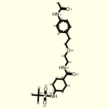 CC(=O)Nc1ccc(CCOCCNC(=O)C2CCC(NS(=O)(=O)C(C)(C)C)CC2)cc1